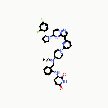 CN(Cc1ccccc1NC1CCC(=O)NC1=O)C1CCN(c2cccc(-c3cnn4ccc(N5CCC[C@@H]5c5ccc(F)cc5F)nc34)n2)CC1